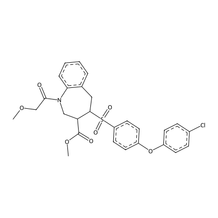 COCC(=O)N1CC(C(=O)OC)C(S(=O)(=O)c2ccc(Oc3ccc(Cl)cc3)cc2)Cc2ccccc21